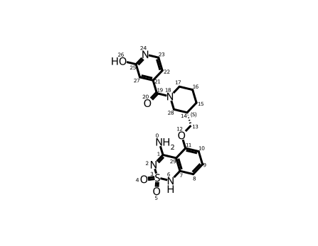 NC1=NS(=O)(=O)Nc2cccc(OC[C@H]3CCCN(C(=O)c4ccnc(O)c4)C3)c21